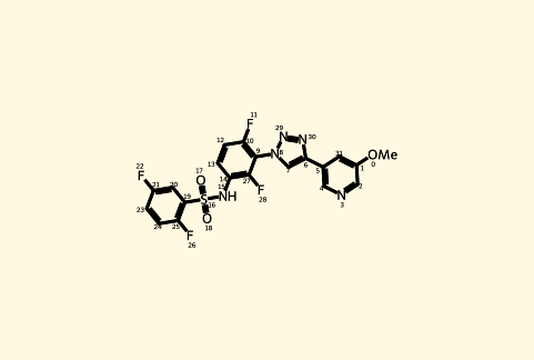 COc1cncc(-c2cn(-c3c(F)ccc(NS(=O)(=O)c4cc(F)ccc4F)c3F)nn2)c1